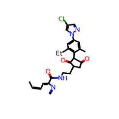 C=N/C(=C\C=C/C)C(=O)NCCC1CC(=O)C(c2c(C)cc(-n3cc(Cl)cn3)cc2CC)C1=O